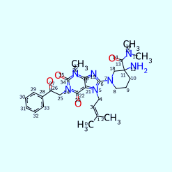 CC(C)=CCn1c(N2CCCC(N)(C(=O)N(C)C)C2)nc2c1c(=O)n(CC(=O)c1ccccc1)c(=O)n2C